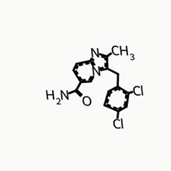 Cc1nc2ccc(C(N)=O)cn2c1Cc1ccc(Cl)cc1Cl